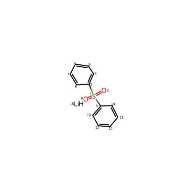 O=S(=O)(c1ccccc1)c1ccccc1.[LiH]